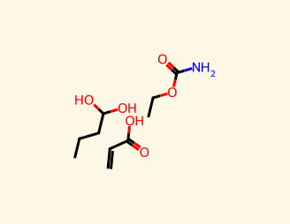 C=CC(=O)O.CCCC(O)O.CCOC(N)=O